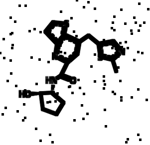 Cc1ncc(Cc2cc(C(=O)N[C@@H]3CCC[C@H]3O)nc3ccsc23)s1